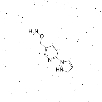 NOCc1ccc(N2C=CCN2)nc1